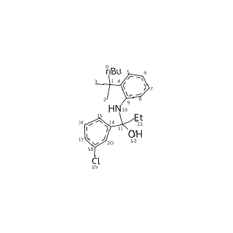 CCCCC(C)(C)c1ccccc1NC(O)(CC)c1cccc(Cl)c1